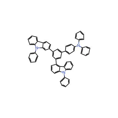 c1ccc(N(c2ccccc2)c2ccc(-c3cc(-c4ccc5c6ccccc6n(-c6ccccc6)c5c4)cc(-c4cccc5c4c4ccccc4n5-c4ccccc4)c3)cc2)cc1